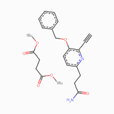 C#Cc1nc(CCC(N)=O)ccc1OCc1ccccc1.CC(C)(C)OC(=O)CCC(=O)OC(C)(C)C